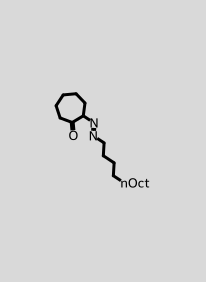 CCCCCCCCCCCC/N=N/C1CCCCCC1=O